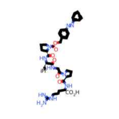 CC(C)C[C@H](NC(=O)[C@@H]1CCCN1C(=O)OCc1ccc(N=Nc2ccccc2)cc1)C(=O)NCC(=O)N1CCC[C@H]1C(=O)N[C@@H](CCCNC(=N)N)C(=O)O